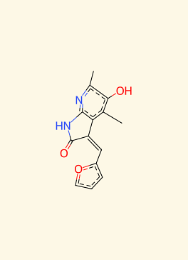 Cc1nc2c(c(C)c1O)/C(=C/c1ccco1)C(=O)N2